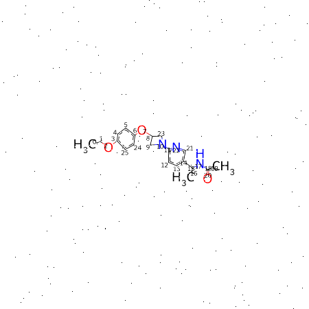 CCOc1ccc(OC2CN(c3ccc(C(C)NC(C)=O)cn3)C2)cc1